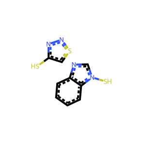 Sc1csnn1.Sn1cnc2ccccc21